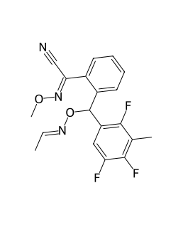 CC=NOC(c1ccccc1C(C#N)=NOC)c1cc(F)c(F)c(C)c1F